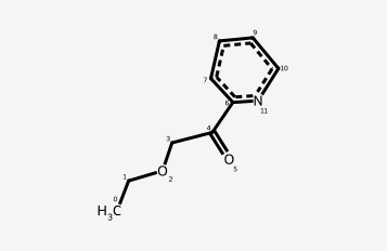 CCOCC(=O)c1ccccn1